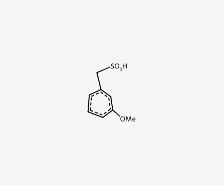 COc1cccc(CS(=O)(=O)O)c1